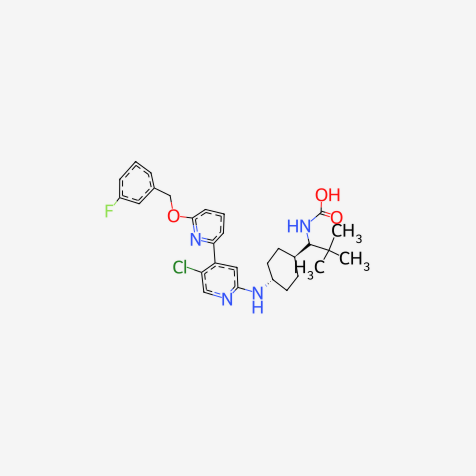 CC(C)(C)C(NC(=O)O)[C@H]1CC[C@H](Nc2cc(-c3cccc(OCc4cccc(F)c4)n3)c(Cl)cn2)CC1